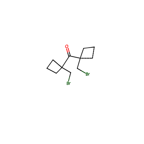 O=C(C1(CBr)CCC1)C1(CBr)CCC1